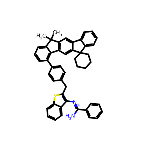 CC1(C)c2cc3c(cc2-c2c(-c4ccc(Cc5sc6ccccc6c5/N=C(\N)c5ccccc5)cc4)cccc21)C1(CCCCC1)c1ccccc1-3